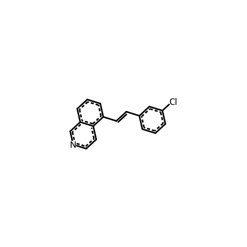 Clc1cccc(/C=C/c2cccc3cnccc23)c1